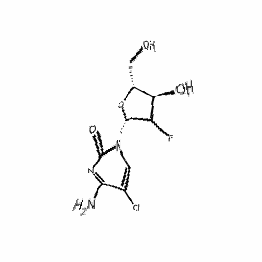 Nc1nc(=O)n([C@@H]2O[C@H](CO)[C@@H](O)C2F)cc1Cl